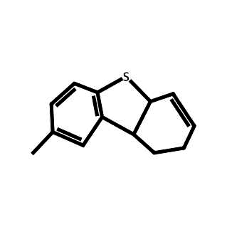 Cc1ccc2c(c1)C1CCC=CC1S2